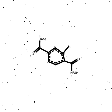 CNC(=O)c1ccc(C(=O)OC)cc1C